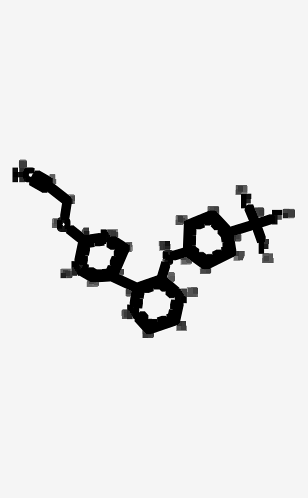 C#CCOc1ncc(-c2nccnc2Sc2ccc(C(F)(F)F)cc2)cn1